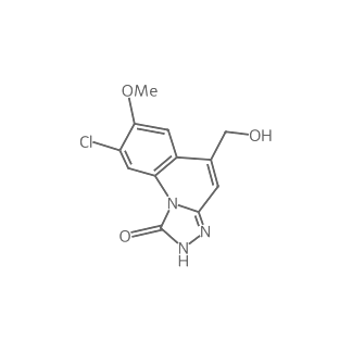 COc1cc2c(CO)cc3n[nH]c(=O)n3c2cc1Cl